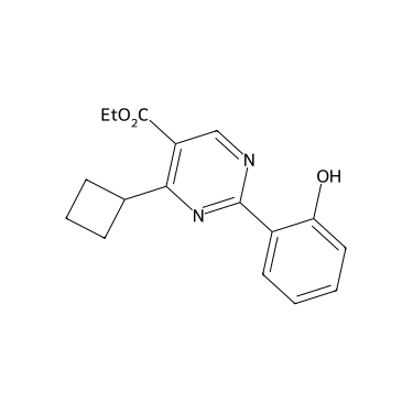 CCOC(=O)c1cnc(-c2ccccc2O)nc1C1CCC1